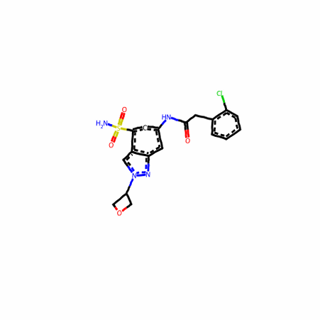 NS(=O)(=O)c1cc(NC(=O)Cc2ccccc2Cl)cc2nn(C3COC3)cc12